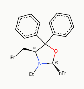 CCC[C@@H]1OC(c2ccccc2)(c2ccccc2)[C@H](CC(C)C)N1CC